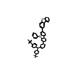 CC(C)(C)c1ccc(C(c2ccc(C(C)(C)C)cc2)c2cccc(-c3ccc4c5ccc(-c6ccc7sc8ccccc8c7c6)cc5n(-c5ccccc5)c4c3)c2)cc1